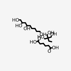 CCC(CO)(CO)CO.O=C(O)CCCCC(=O)O.OCCCCCC(O)CC(O)CO